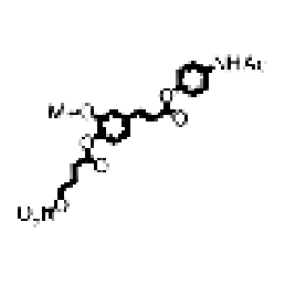 COc1cc(C=CC(=O)Oc2ccc(NC(C)=O)cc2)ccc1OC(=O)CCCO[N+](=O)[O-]